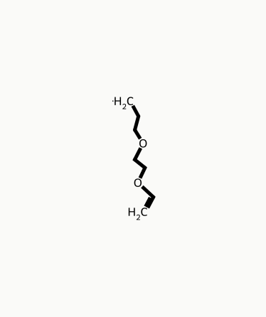 [CH2]CCOCCOC=C